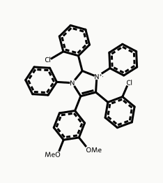 COc1ccc(C2=C(c3ccccc3Cl)[N+](c3ccccc3)C(c3ccccc3Cl)N2c2ccccc2)cc1OC